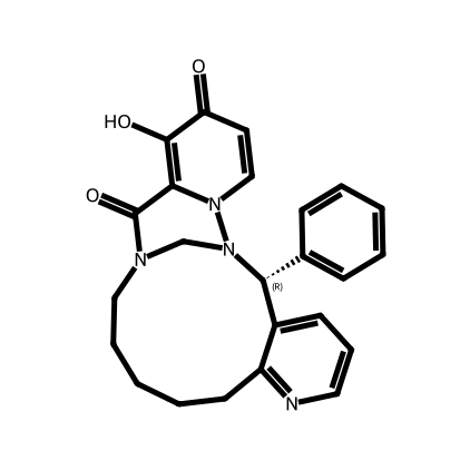 O=C1c2c(O)c(=O)ccn2N2CN1CCCCCc1ncccc1[C@H]2c1ccccc1